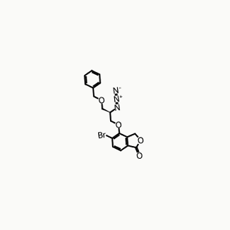 [N-]=[N+]=N[C@H](COCc1ccccc1)COc1c(Br)ccc2c1COC2=O